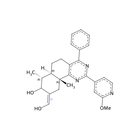 COc1cc(-c2nc(-c3ccccc3)c3c(n2)[C@]2(C)C/C(=C/O)C(O)[C@H](C)[C@H]2CC3)ccn1